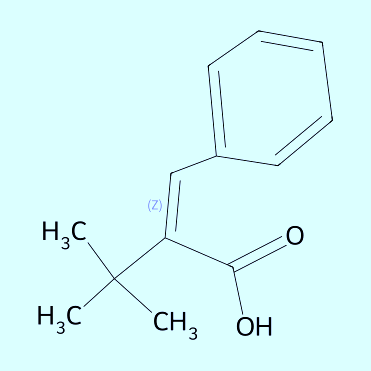 CC(C)(C)/C(=C/c1ccccc1)C(=O)O